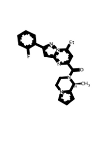 CCc1cc(C(=O)N2CCn3cccc3[C@@H]2C)nc2cc(-c3ccccc3F)nn12